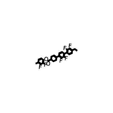 CCc1ccc(-c2ccc(C3=CCC(C(=O)Oc4ccc(C)c(F)c4F)CC3)c(F)c2F)c(F)c1F